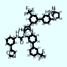 O=C(Nc1cccc(-c2cnco2)c1)N1c2cc(-c3cccc(C(F)(F)F)c3)ccc2N2C[C@@H]1CC2c1cc(-c2ccc3c(c2)N[C@H]2CCN3C2)cc(C(F)(F)F)c1